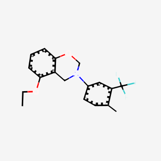 CCOc1cccc2c1CN(c1ccc(C)c(C(F)(F)F)c1)CO2